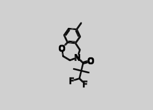 Cc1ccc2c(c1)CN(C(=O)C(C)(C)C(F)F)CCO2